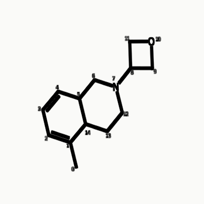 CC1=CC=CC2CN(C3COC3)CCC12